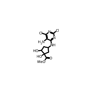 COC(=O)C1(O)CC(Nc2nc(Cl)nc(Cl)c2N)CC1O